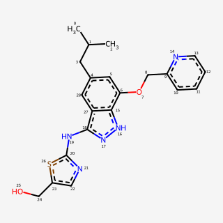 CC(C)Cc1cc(OCc2ccccn2)c2[nH]nc(Nc3ncc(CO)s3)c2c1